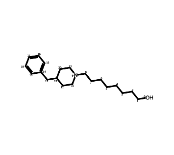 OCCCCCCCCN1CCC(Cc2ccccc2)CC1